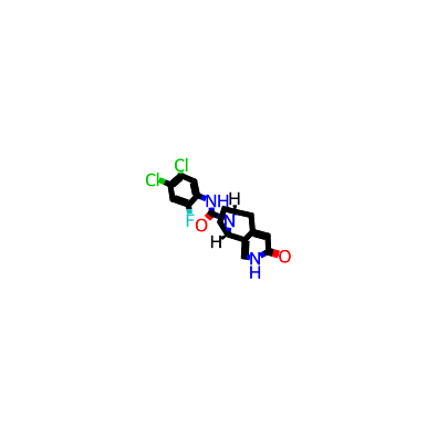 O=C(Nc1cc(Cl)c(Cl)cc1F)N1[C@@H]2CC[C@H]1c1c[nH]c(=O)cc1C2